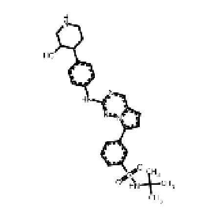 CC(C)(C)NS(=O)(=O)c1cccc(-c2ccc3cnc(Nc4ccc(C5CCNCC5O)cc4)nn23)c1